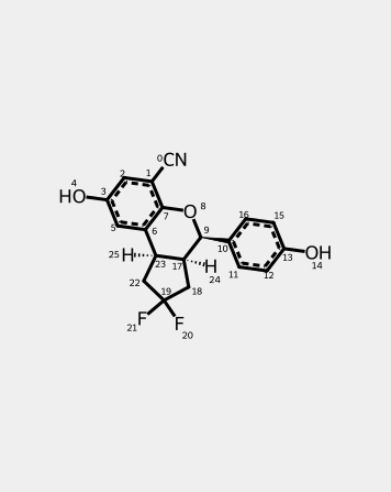 N#Cc1cc(O)cc2c1O[C@@H](c1ccc(O)cc1)[C@H]1CC(F)(F)C[C@@H]21